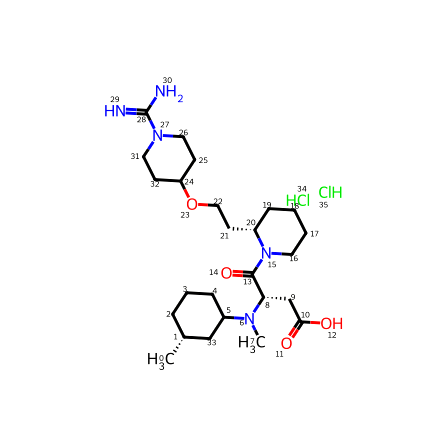 C[C@@H]1CCCC(N(C)[C@@H](CC(=O)O)C(=O)N2CCCC[C@H]2CCOC2CCN(C(=N)N)CC2)C1.Cl.Cl